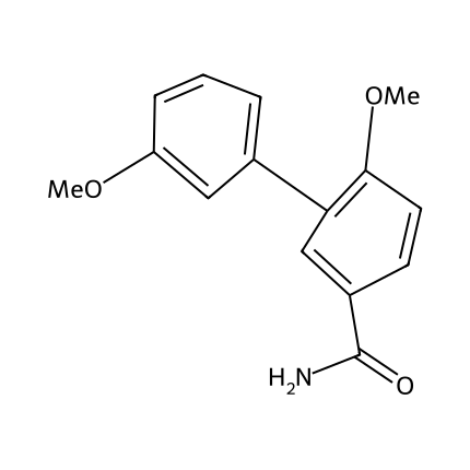 COc1cccc(-c2cc(C(N)=O)ccc2OC)c1